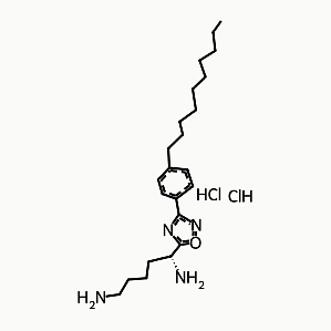 CCCCCCCCCCc1ccc(-c2noc([C@H](N)CCCCN)n2)cc1.Cl.Cl